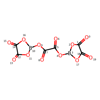 O=C1OB(OC(=O)C(=O)OB2OC(=O)C(=O)O2)OC1=O